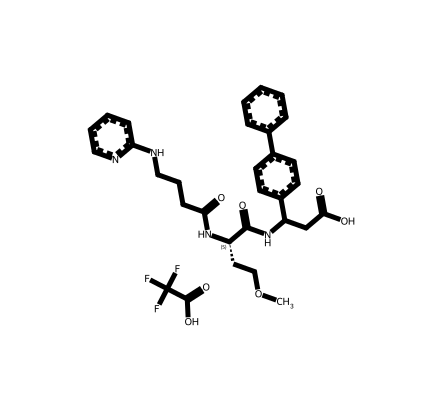 COCC[C@H](NC(=O)CCCNc1ccccn1)C(=O)NC(CC(=O)O)c1ccc(-c2ccccc2)cc1.O=C(O)C(F)(F)F